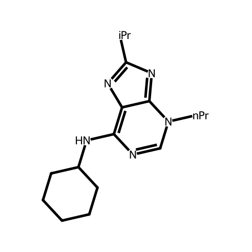 CCCn1cnc(NC2CCCCC2)c2nc(C(C)C)nc1-2